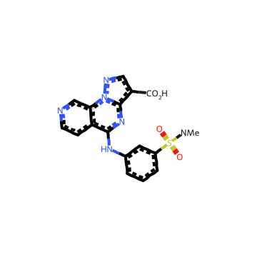 CNS(=O)(=O)c1cccc(Nc2nc3c(C(=O)O)cnn3c3cnccc23)c1